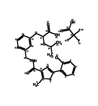 Cc1sc(-c2ccccc2Cl)nc1C(=O)NCc1cc(CC(OC(C)C)C(=O)O)ccn1.O=C(O)C(F)(F)F